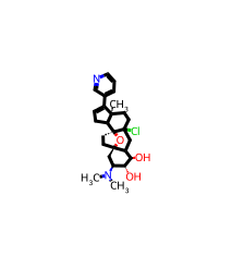 CN(C)[C@H]1C[C@@]23CC[C@]4(O2)C2CC=C(c5cccnc5)[C@@]2(C)CCC4(Cl)CC3[C@@H](O)[C@@H]1O